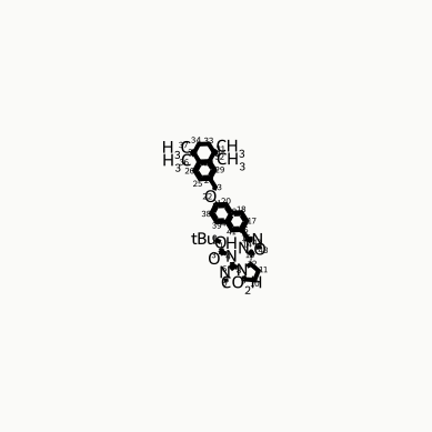 CC(C)(C)OC(=O)N/C(=N/C(=O)O)N1CCC[C@H]1c1nc(-c2ccc3cc(OCc4ccc5c(c4)C(C)(C)CCC5(C)C)ccc3c2)no1